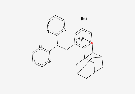 CC(C)(C)c1ccc(C23CC4CC(CC(C4)C2CP)C3)c(CP(c2ncccn2)c2ncccn2)c1